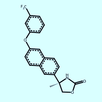 C[C@@]1(c2ccc3cc(Oc4cccc(C(F)(F)F)c4)ccc3c2)COC(=O)N1